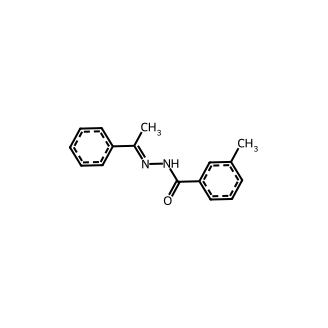 C/C(=N\NC(=O)c1cccc(C)c1)c1ccccc1